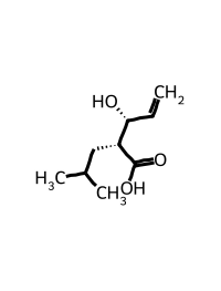 C=C[C@@H](O)[C@@H](CC(C)C)C(=O)O